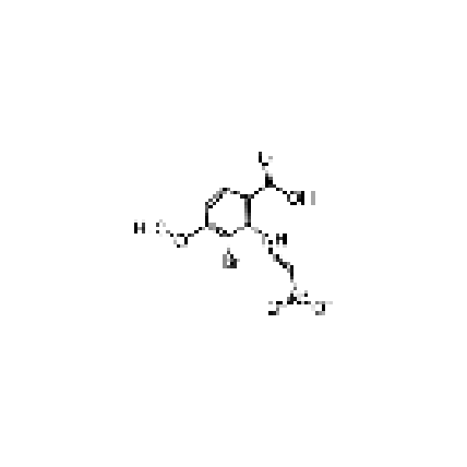 COc1ccc(C(=O)O)c(NC=C[N+](=O)[O-])c1Br